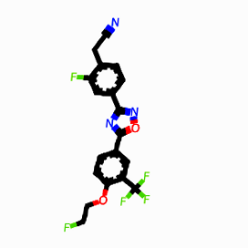 N#CCc1ccc(-c2noc(-c3ccc(OCCF)c(C(F)(F)F)c3)n2)cc1F